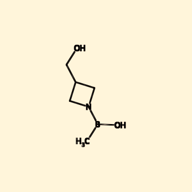 CB(O)N1CC(CO)C1